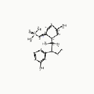 CCC(c1cccc(O)c1)C(O)(O)C1C=C(O)C=C/C1=N\P(=O)(O)O